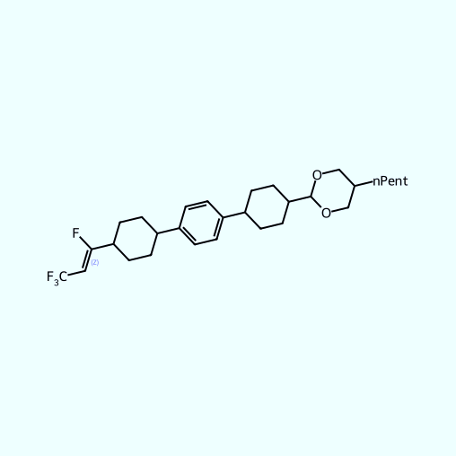 CCCCCC1COC(C2CCC(c3ccc(C4CCC(/C(F)=C/C(F)(F)F)CC4)cc3)CC2)OC1